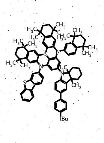 CC(C)(C)c1ccc(-c2ccc3c(c2)C2(C)CCCCC2(C)N3c2cc3c4c(c2)N(c2ccc5c(c2)sc2ccccc25)c2cc5c(cc2B4c2cc4c(cc2N3c2ccc3c(c2)C(C)(C)CCC3(C)C)C(C)(C)CCC4(C)C)C(C)(C)CCC5(C)C)cc1